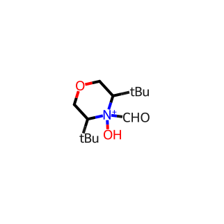 CC(C)(C)C1COCC(C(C)(C)C)[N+]1(O)C=O